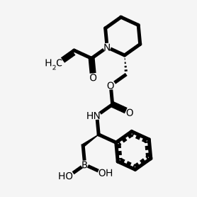 C=CC(=O)N1CCCC[C@@H]1COC(=O)N[C@H](CB(O)O)c1ccccc1